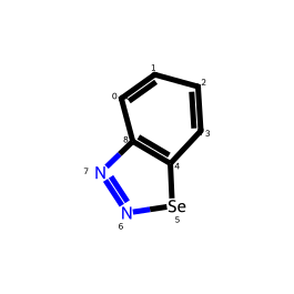 [c]1cc[c]c2[se]nnc12